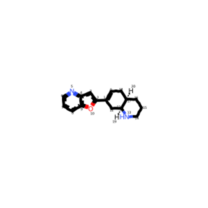 C1=C(c2cc3ncccc3o2)C[C@@H]2NCCC[C@@H]2C1